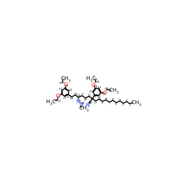 CCCCCCCCCCCCC(C#N)(CCCC(CCc1cc(OCC)cc(OCC)c1)N=NC)c1cc(OCC)cc(OCC)c1